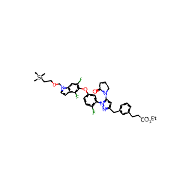 CCOC(=O)CCc1cccc(Cc2cc(N3CCCC3=O)n(-c3cc(Oc4c(F)cc5c(ccn5COCC[Si](C)(C)C)c4F)ccc3F)n2)c1